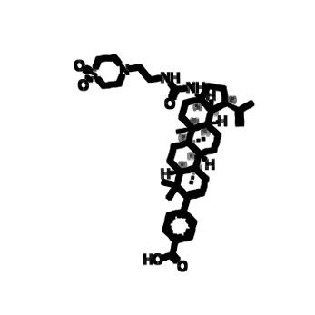 C=C(C)[C@@H]1CC[C@]2(NC(=O)NCCN3CCS(=O)(=O)CC3)CC[C@]3(C)[C@H](CC[C@@H]4[C@@]5(C)CC=C(c6ccc(C(=O)O)cc6)C(C)(C)[C@@H]5CC[C@]43C)[C@@H]12